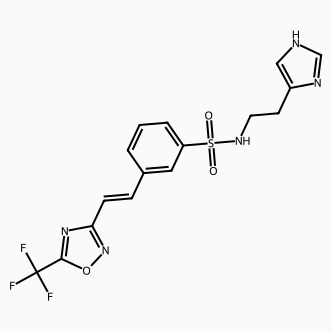 O=S(=O)(NCCc1c[nH]cn1)c1cccc(C=Cc2noc(C(F)(F)F)n2)c1